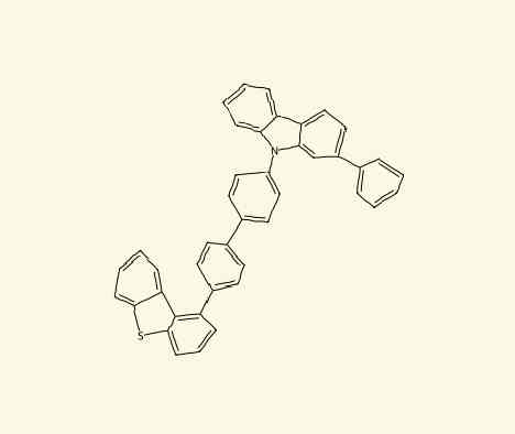 c1ccc(-c2ccc3c4ccccc4n(-c4ccc(-c5ccc(-c6cccc7sc8ccccc8c67)cc5)cc4)c3c2)cc1